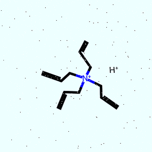 C=CC[N+](CC=C)(CC=C)CC=C.[H+]